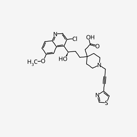 COc1ccc2ncc(Cl)c([C@H](O)CCC3(CC(=O)O)CCN(CC#Cc4cscn4)CC3)c2c1